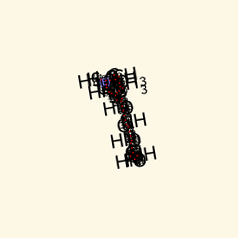 CC(C)[C@@H]1NC(=O)[C@]2(C)CSC(=N2)c2nc(sc2-c2ccc(CNC(=O)CCCCCNC(=O)CCCCCNC(=O)CCCC[C@@H]3SC[C@@H]4NC(=O)N[C@@H]43)cc2)CNC(=O)C[C@@H](/C=C/CCS)OC1=O